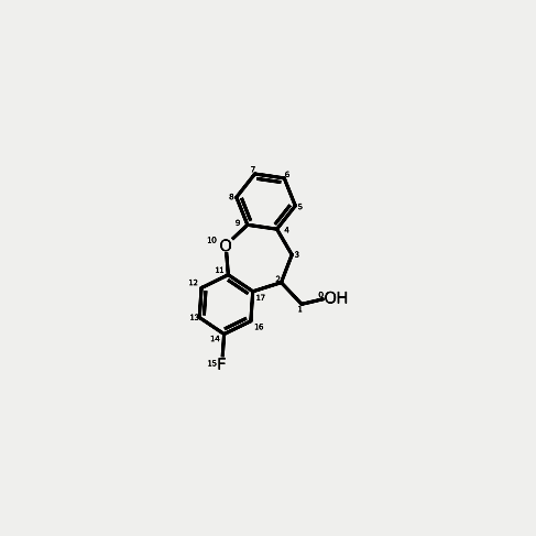 OCC1Cc2ccccc2Oc2ccc(F)cc21